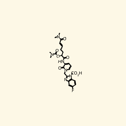 CN(C)C(=O)/C=C/CCC(OC(=O)N(C)C)C(=O)Nc1cccn(Cc2nc3cc(F)ccc3n2C(=O)O)c1=O